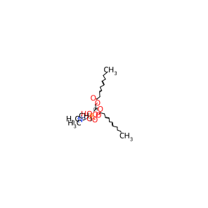 CCCCC=CCC=CCC(=O)OC[C@H](COP(=O)(O)OCC[N+](C)(C)C)OC(=O)CC=CCC=CCCCC